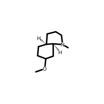 COC1CC[C@H]2CCCN(C)[C@H]2C1